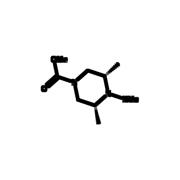 CNN1[C@H](C)CN(C(=O)OC)C[C@@H]1C